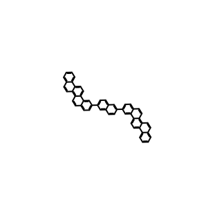 c1ccc2c(c1)ccc1c2ccc2c3cc(-c4ccc5cc(-c6ccc7ccc8c(ccc9c%10ccccc%10ccc98)c7c6)ccc5c4)ccc3ccc21